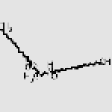 CCCCCCCCC=CCCCCCCCC(=O)NCCCN(C)CCOC(=O)CCCCCCCC=CCCCCCCCC